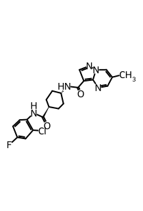 Cc1cnc2c(C(=O)N[C@H]3CC[C@H](C(=O)Nc4ccc(F)cc4Cl)CC3)cnn2c1